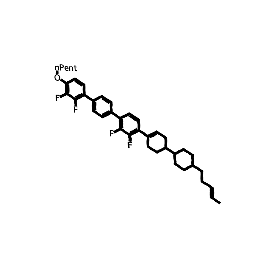 C/C=C/CCC1CCC(C2CC=C(c3ccc(-c4ccc(-c5ccc(OCCCCC)c(F)c5F)cc4)c(F)c3F)CC2)CC1